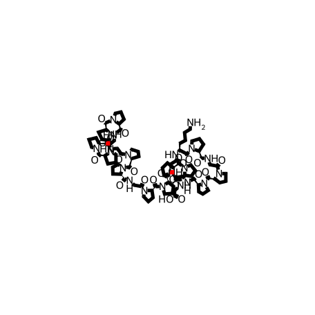 NCCCC[C@H](NC(=O)CNC(=O)[C@@H]1CCCN1C(=O)[C@@H]1CCCN1C(=O)CNC(=O)[C@@H]1CCCN1C(=O)[C@@H]1CCCN1C(=O)CNC(=O)[C@@H]1CCCN1C(=O)[C@@H]1CCCN1C(=O)CNC(=O)[C@@H]1CCCN1C(=O)[C@@H]1CCCN1)C(=O)N1CCC[C@H]1C(=O)NCC(=O)N1CCC[C@H]1C(=O)N1CCC[C@H]1C(=O)NCC(=O)N1CCC[C@H]1C(=O)N1CCC[C@H]1C(=O)NCC(=O)O